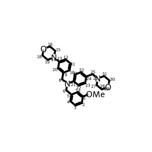 COc1cccc(CN(Cc2cccc(N3CCOCC3)c2)c2ccc(CN3CCOCC3)cc2)c1